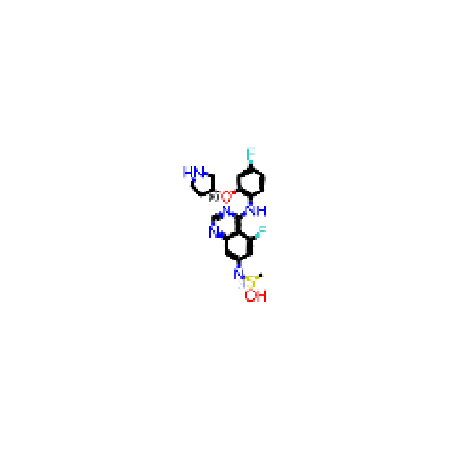 C/S(O)=N\c1cc(F)c2c(Nc3ccc(F)cc3O[C@@H]3CCNC3)ncnc2c1